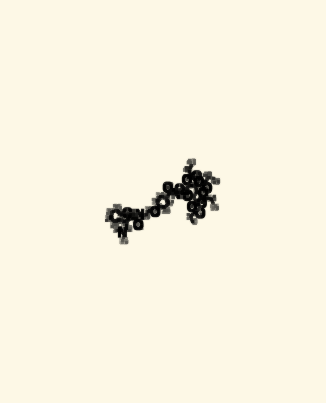 CCC(=O)OC[C@H]1O[C@@H](ONC(=O)c2ccc(OCCNC(=O)c3oc4ccccc4c3CN(C)C)cc2)[C@H](OC(=O)CC)[C@@H](OC(=O)CC)[C@H]1OC(=O)CC